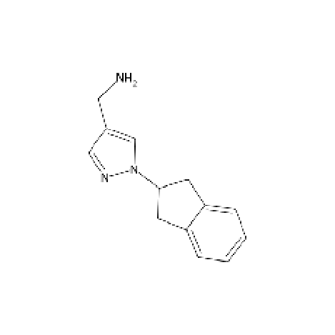 NCc1cnn(C2Cc3ccccc3C2)c1